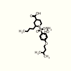 CCCCC1CC(C(=O)O)CCN1S(=O)(=O)c1ccc(OCCC(C)C)cc1.NO